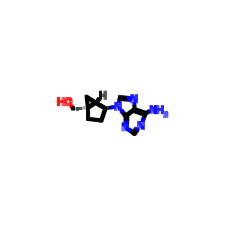 Nc1ncnc2c1ncn2[C@H]1CC[C@@]2(CO)C[C@H]12